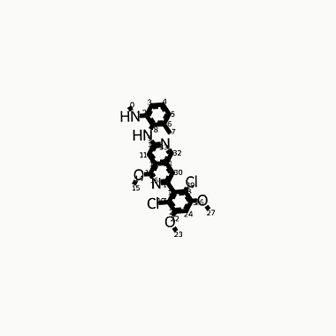 CNc1cccc(C)c1Nc1cc2c(OC)nc(-c3c(Cl)c(OC)cc(OC)c3Cl)cc2cn1